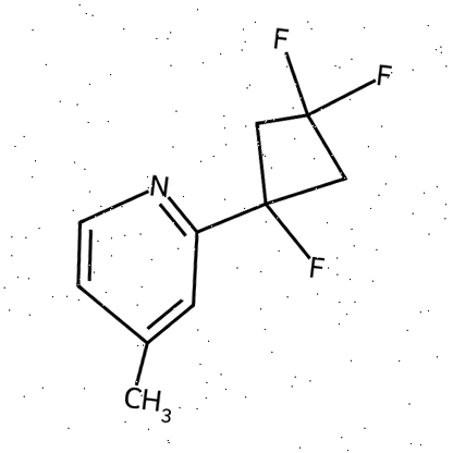 Cc1ccnc(C2(F)CC(F)(F)C2)c1